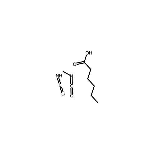 CCCCCC(=O)O.CN=C=O.N=C=O